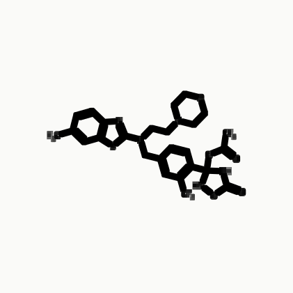 O=C1NC(OC(=O)C(F)(F)F)(c2ccc(CN(CCN3CCOCC3)c3nc4ccc(C(F)(F)F)cc4s3)cc2C(F)(F)F)NO1